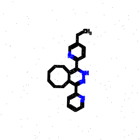 CCc1ccc(C2=C3CCCCCCC3C(c3ccccn3)=NN2)nc1